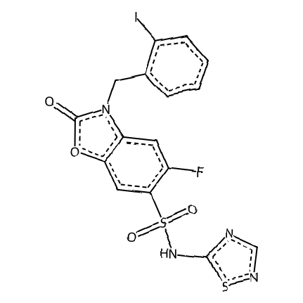 O=c1oc2cc(S(=O)(=O)Nc3ncns3)c(F)cc2n1Cc1ccccc1I